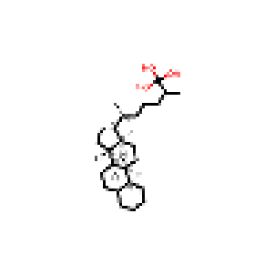 CC(CCC[C@@H](C)[C@H]1CC[C@H]2[C@@H]3CCC4CCCC[C@]4(C)[C@H]3CC[C@]12C)C(O)(O)O